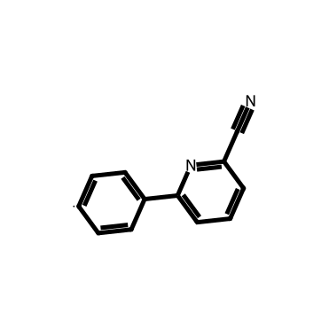 N#Cc1cccc(-c2cc[c]cc2)n1